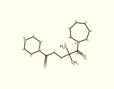 CC(C)(CCC(=O)N1CCOCC1)C(=O)N1CCCCCC1